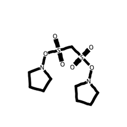 O=S(=O)(CS(=O)(=O)ON1CCCC1)ON1CCCC1